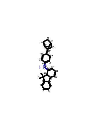 CC1(C)c2ccccc2C2C=CC=C(NC3=CCC(C4CC5CCC4C5)C=C3)C21